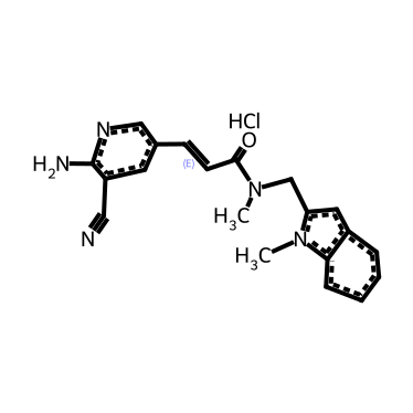 CN(Cc1cc2ccccc2n1C)C(=O)/C=C/c1cnc(N)c(C#N)c1.Cl